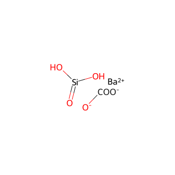 O=C([O-])[O-].O=[Si](O)O.[Ba+2]